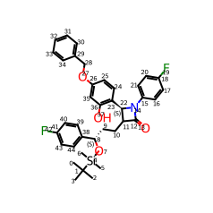 CC(C)(C)[Si](C)(C)O[C@@H](CCC1C(=O)N(c2ccc(F)cc2)[C@@H]1c1ccc(OCc2ccccc2)cc1O)c1ccc(F)cc1